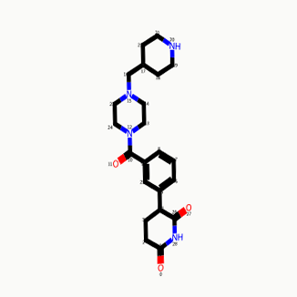 O=C1CCC(c2cccc(C(=O)N3CCN(CC4CCNCC4)CC3)c2)C(=O)N1